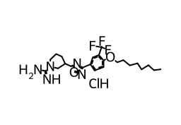 CCCCCCCCOc1ccc(-c2noc(C3CCCN(C(=N)N)C3)n2)cc1C(F)(F)F.Cl